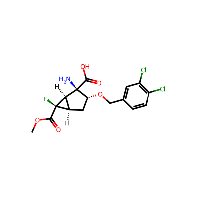 COC(=O)[C@@]1(F)[C@@H]2C[C@@H](OCc3ccc(Cl)c(Cl)c3)[C@@](N)(C(=O)O)[C@@H]21